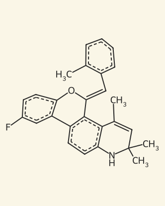 CC1=CC(C)(C)Nc2ccc3c(c21)/C(=C/c1ccccc1C)Oc1ccc(F)cc1-3